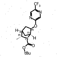 C[C@@H]1[C@H]2C[C@@H](Oc3cnc(C(F)(F)F)cn3)[C@H](C2)N1C(=O)OC(C)(C)C